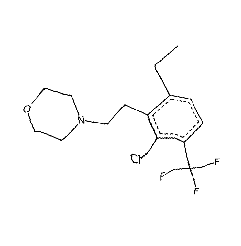 CCc1ccc(C(F)(F)F)c(Cl)c1CCN1CCOCC1